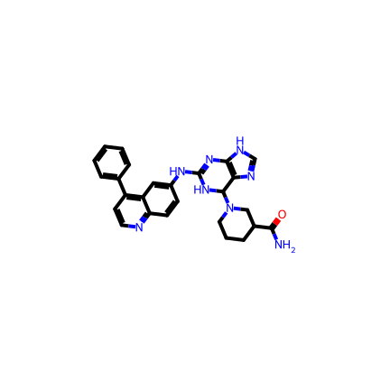 NC(=O)C1CCCN(C2NC(Nc3ccc4nccc(-c5ccccc5)c4c3)=Nc3[nH]cnc32)C1